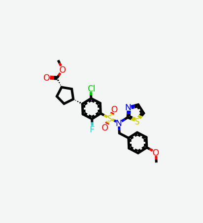 COC(=O)[C@H]1CC[C@@H](c2cc(F)c(S(=O)(=O)N(Cc3ccc(OC)cc3)c3nccs3)cc2Cl)C1